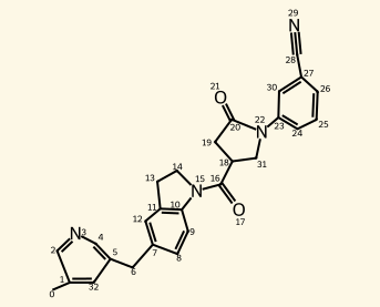 Cc1cncc(Cc2ccc3c(c2)CCN3C(=O)C2CC(=O)N(c3cccc(C#N)c3)C2)c1